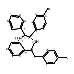 Cc1ccc(CC(N[C@@H](c2ccc(C)cc2)C(N)c2ccccc2)c2ccccc2)cc1